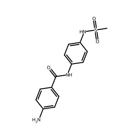 CS(=O)(=O)Nc1ccc(NC(=O)c2ccc(N)cc2)cc1